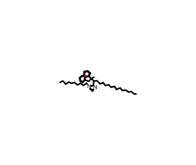 CCCCCCCCCCCCCCCC(c1nccn1CCCCCCCCCC)C(C)(Cc1ccccc1)c1ccccc1